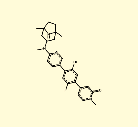 CN(c1ccc(-c2cc(F)c(-c3ccn(C)c(=O)c3)cc2O)nn1)C1CC2(C)CCC(C)(C1)N2